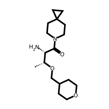 C[C@@H](OCC1CCOCC1)[C@H](N)C(=O)N1CCC2(CC1)CC2